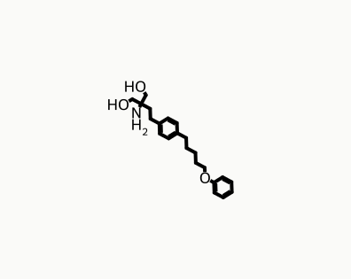 NC(CO)(CO)CCc1ccc(CCCCCOc2ccccc2)cc1